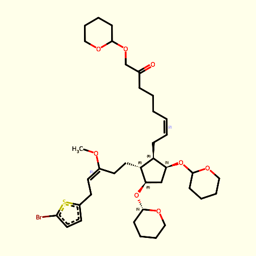 CO/C(=C/Cc1ccc(Br)s1)CC[C@@H]1[C@@H](C/C=C\CCCC(=O)COC2CCCCO2)[C@@H](OC2CCCCO2)C[C@H]1O[C@H]1CCCCO1